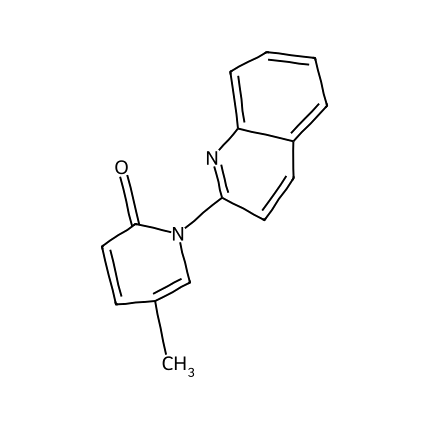 Cc1ccc(=O)n(-c2ccc3ccccc3n2)c1